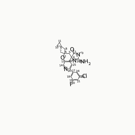 CN1C(=O)C2(CC(C)(CC3CC3)Oc3cnc(-c4cc(F)cc(Cl)c4)cc32)N=C1N